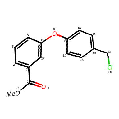 COC(=O)c1cccc(Oc2ccc(CCl)cc2)c1